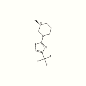 [CH2][C@H]1CCCN(c2nc(C(F)(F)F)cs2)C1